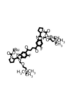 CC(C)(C)OC(=O)N1CCCC1c1nc2cc(C(=O)CCC(=O)c3cc4nc(C5CCCN5C(=O)OC(C)(C)C)n(COCC[Si](C)(C)C)c4cc3F)c(F)cc2n1COCC[Si](C)(C)C